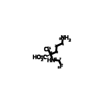 NCCC[C@](Cl)(NCF)C(=O)O